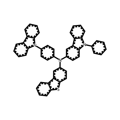 c1ccc(-n2c3ccccc3c3cc(N(c4ccc(-n5c6ccccc6c6ccccc65)cc4)c4ccc5sc6ccccc6c5c4)ccc32)cc1